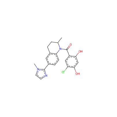 CC1CCc2cc(-c3nccn3C)ccc2N1C(=O)c1cc(Cl)c(O)cc1O